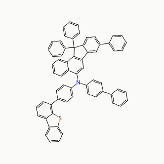 c1ccc(-c2ccc(N(c3ccc(-c4cccc5c4sc4ccccc45)cc3)c3cc4c(c5ccccc35)C(c3ccccc3)(c3ccccc3)c3ccc(-c5ccccc5)cc3-4)cc2)cc1